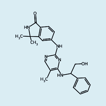 Cc1cnc(Nc2ccc3c(c2)C(C)(C)NC3=O)nc1NC(CO)c1ccccc1